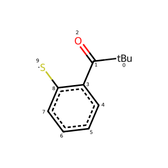 CC(C)(C)C(=O)c1ccccc1[S]